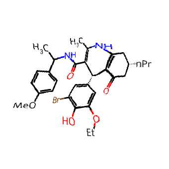 CCC[C@@H]1CC(=O)C2=C(C1)NC(C)=C(C(=O)NC(C)c1ccc(OC)cc1)[C@H]2c1cc(Br)c(O)c(OCC)c1